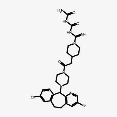 N=C(NC(=O)NC(N)=O)N1CCC(CC(=O)N2CCN(C3c4ccc(Cl)cc4CCc4cc(Br)cnc43)CC2)CC1